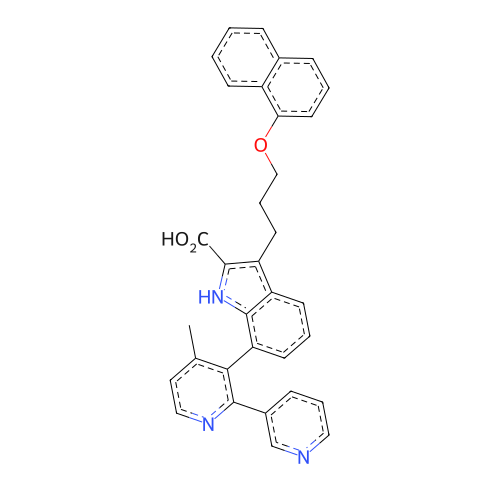 Cc1ccnc(-c2cccnc2)c1-c1cccc2c(CCCOc3cccc4ccccc34)c(C(=O)O)[nH]c12